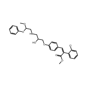 COC(=O)C(=Cc1ccc(OCC(O)CNCC(OC)Oc2ccccc2)cc1)c1ccccc1Cl